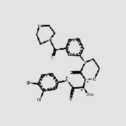 [C-]#[N+]c1ccc(NC(=O)[C@H](OC(C)=O)[C@H]2OCCN(c3cccc(C(=O)N4CCOCC4)c3)C2=O)cc1CC